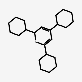 C1=C(C2CCCCC2)C=C(C2CCCCC2)[N]C1C1CCCCC1